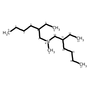 CCCCC(CC)C[Si](C)CC(CC)CCCC